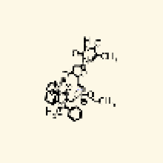 CCOP(=O)(/C=C/C1O[C@@H](n2cc(C)c(=O)[nH]c2=O)C[C@H]1OP1O[C@@H](CS(C)(c2ccccc2)c2ccccc2)[C@H]2CCCN21)OCC